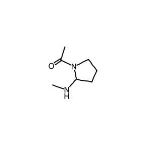 CNC1CCCN1C(C)=O